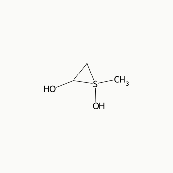 CS1(O)CC1O